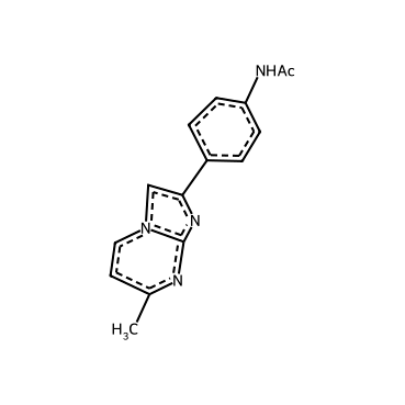 CC(=O)Nc1ccc(-c2cn3ccc(C)nc3n2)cc1